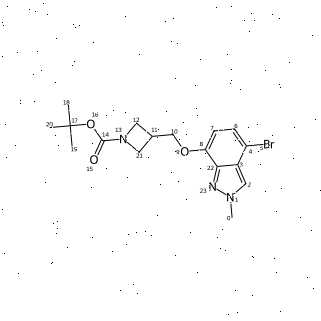 Cn1cc2c(Br)ccc(OCC3CN(C(=O)OC(C)(C)C)C3)c2n1